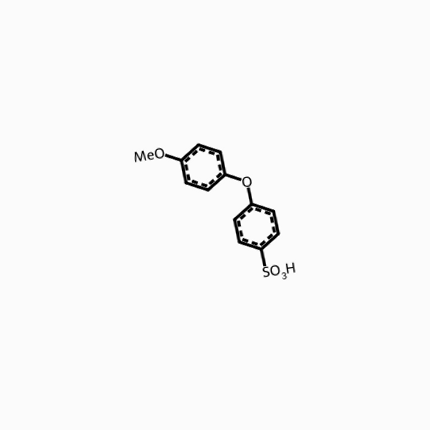 COc1ccc(Oc2ccc(S(=O)(=O)O)cc2)cc1